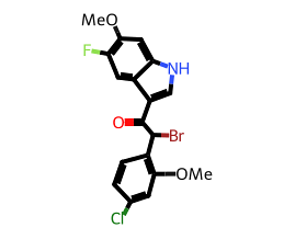 COc1cc2[nH]cc(C(=O)C(Br)c3ccc(Cl)cc3OC)c2cc1F